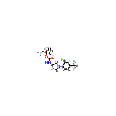 CC(C)(C)OC(=O)NC1CCN(c2ccc(C(F)(F)F)cc2F)C1